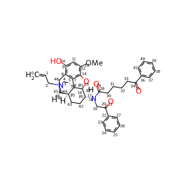 C=CCN1CC[C@]23c4c5c(O)cc(OC)c4O[C@H]2[C@H](N(CC(=O)c2ccccc2)C(=O)CCCCC(=O)c2ccccc2)CC[C@H]3[C@H]1C5